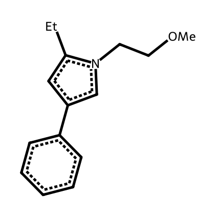 CCc1cc(-c2ccccc2)cn1CCOC